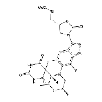 CON=C[C@H]1CN(c2noc3c(F)c4c(cc23)CC2(C(=O)NC(=O)NC2=O)[C@H]2[C@H](C)O[C@H](C)CN42)C(=O)O1